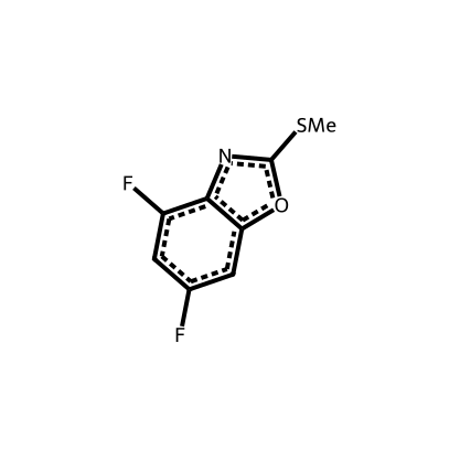 CSc1nc2c(F)cc(F)cc2o1